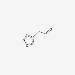 O=[C]Cc1cnoc1